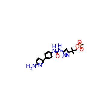 Cn1nc(C(C)(C)COS(C)(=O)=O)cc1NC(=O)Nc1ccc(-c2ccc(N)nc2)cc1